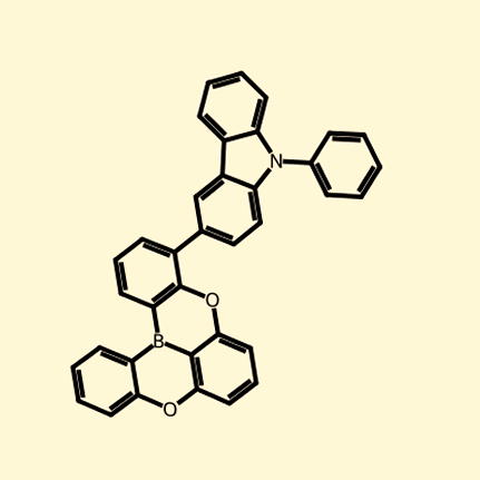 c1ccc(-n2c3ccccc3c3cc(-c4cccc5c4Oc4cccc6c4B5c4ccccc4O6)ccc32)cc1